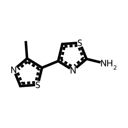 Cc1ncsc1-c1csc(N)n1